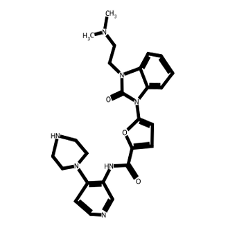 CN(C)CCn1c(=O)n(-c2ccc(C(=O)Nc3cnccc3N3CCNCC3)o2)c2ccccc21